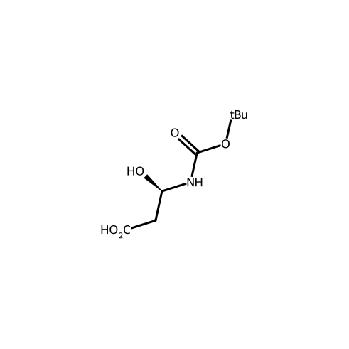 CC(C)(C)OC(=O)N[C@H](O)CC(=O)O